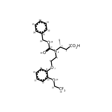 C[C@H](CC(=O)O)N(CCOc1ccccc1OCC(F)(F)F)C(=O)OCc1ccccc1